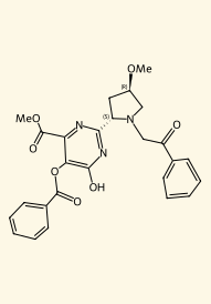 COC(=O)c1nc([C@@H]2C[C@@H](OC)CN2CC(=O)c2ccccc2)nc(O)c1OC(=O)c1ccccc1